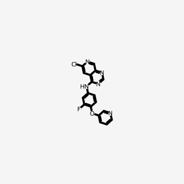 Fc1cc(Nc2ncnc3cnc(Cl)cc23)ccc1Oc1cccnc1